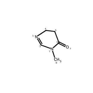 CN1[C]=NCCC1=O